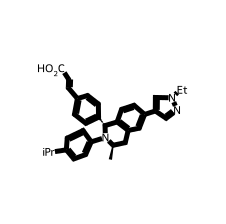 CCn1cc(-c2ccc3c(c2)C[C@@H](C)N(c2ccc(C(C)C)cc2)[C@@H]3c2ccc(/C=C/C(=O)O)cc2)cn1